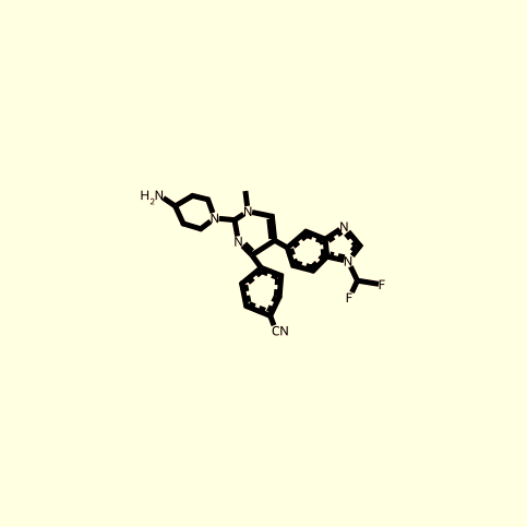 CN1C=C(c2ccc3c(c2)ncn3C(F)F)C(c2ccc(C#N)cc2)=NC1N1CCC(N)CC1